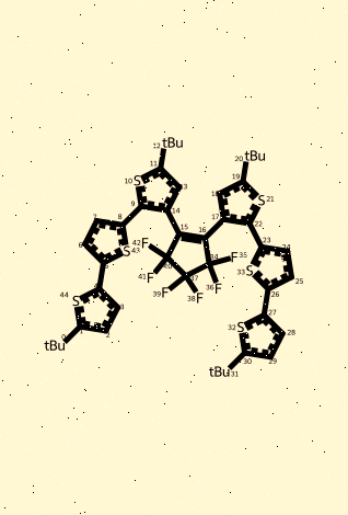 CC(C)(C)c1ccc(-c2ccc(-c3sc(C(C)(C)C)cc3C3=C(c4cc(C(C)(C)C)sc4-c4ccc(-c5ccc(C(C)(C)C)s5)s4)C(F)(F)C(F)(F)C3(F)F)s2)s1